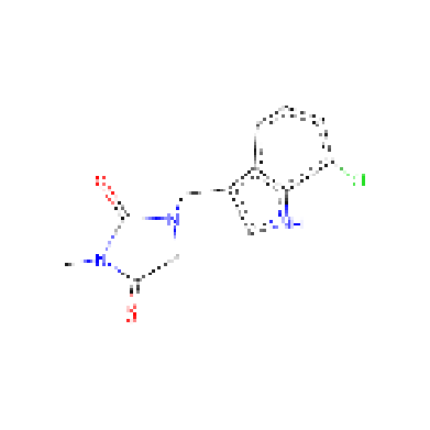 CN1C(=O)CN(Cc2c[nH]c3c(Cl)cccc23)C1=O